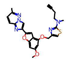 C#CCCN(C)c1nc(COc2cc(OC)cc3oc(-c4cn5nc(C)ccc5n4)cc23)cs1